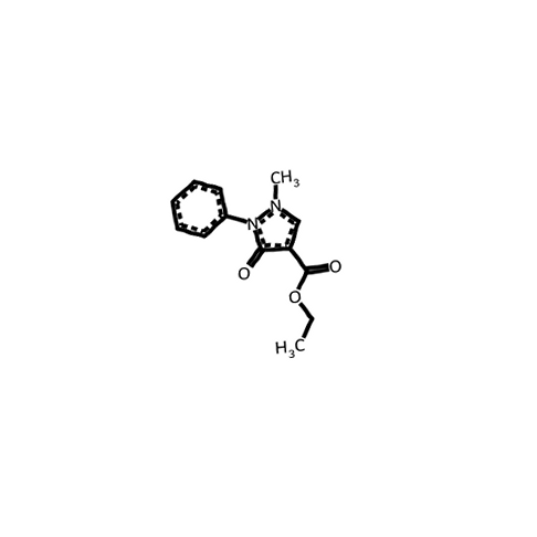 CCOC(=O)c1cn(C)n(-c2ccccc2)c1=O